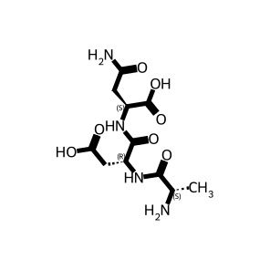 C[C@H](N)C(=O)N[C@H](CC(=O)O)C(=O)N[C@@H](CC(N)=O)C(=O)O